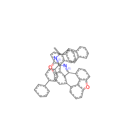 C=C(/N=C(\N=C(/C)c1cccc2oc3cccc(-c4ccc5oc6ccc7ccccc7c6c5c4)c3c12)c1ccc(-c2ccccc2)cc1)c1ccc2ccccc2c1